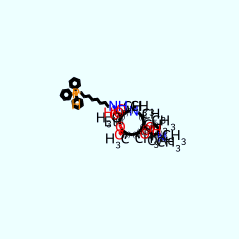 CC[C@H]1OC(=O)[C@H](C)C[C@H](C)[C@@H](O[C@@H]2O[C@H](C)C[C@H](N(C)C)[C@H]2OC(C)=O)[C@](C)(O)C[C@@H](C)CN(C)[C@H](C)[C@@H](OC(=O)NCCCCCCCC[PH](c2ccccc2)(c2ccccc2)c2ccccc2)[C@]1(C)O